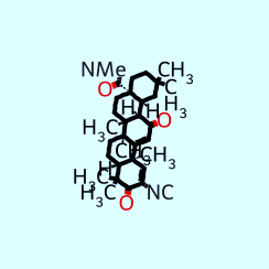 [C-]#[N+]C1=C[C@]2(C)C3=CC(=O)[C@@H]4[C@@H]5CC(C)(C)CC[C@]5(C(=O)NC)CC[C@@]4(C)[C@]3(C)CC[C@H]2C(C)(C)C1=O